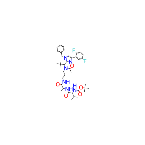 CC(=O)N(CCCNC(=O)C(C)NC(=O)C(NC(=O)OC(C)(C)C)C(C)C)C(c1nc(-c2cc(F)ccc2F)cn1Cc1ccccc1)C(C)(C)C